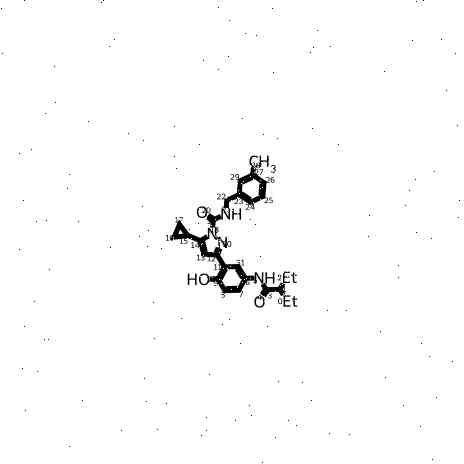 CCC(CC)C(=O)Nc1ccc(O)c(-c2cc(C3CC3)n(C(=O)NCc3cccc(C)c3)n2)c1